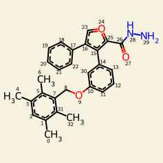 Cc1cc(C)c(C)c(COc2cccc(-c3c(-c4ccccc4)coc3C(=O)NN)c2)c1C